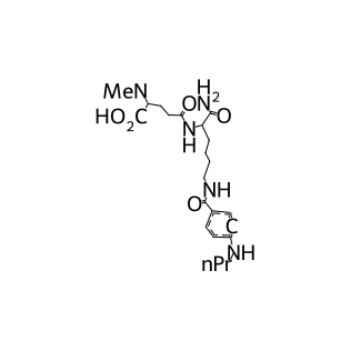 CCCNc1ccc(C(=O)NCCCCC(NC(=O)CCC(NC)C(=O)O)C(N)=O)cc1